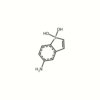 Nc1ccc2c(c1)C=CS2(O)O